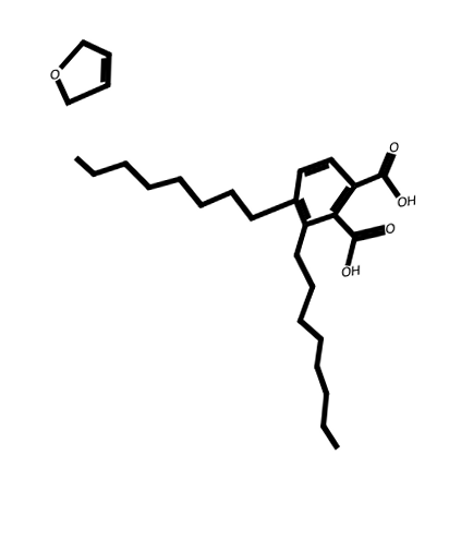 C1=CCOC1.CCCCCCCCc1ccc(C(=O)O)c(C(=O)O)c1CCCCCCCC